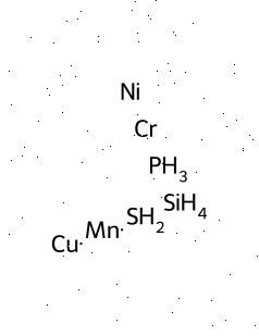 P.S.[Cr].[Cu].[Mn].[Ni].[SiH4]